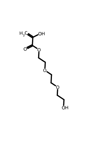 C=C(O)C(=O)OCCOCCOCCO